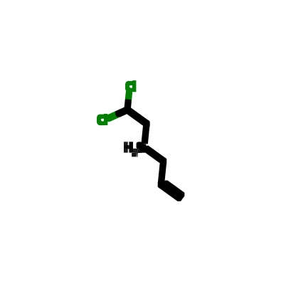 C=CC[SiH2]CC(Cl)Cl